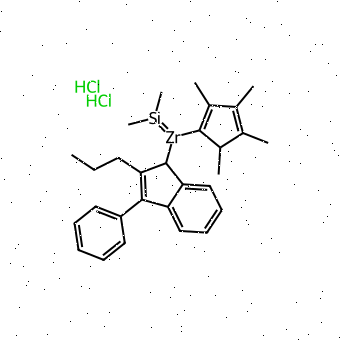 CCCC1=C(c2ccccc2)c2ccccc2[CH]1[Zr]([C]1=C(C)C(C)=C(C)C1C)=[Si](C)C.Cl.Cl